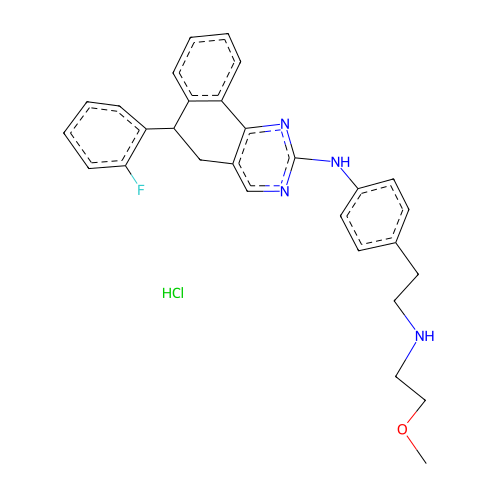 COCCNCCc1ccc(Nc2ncc3c(n2)-c2ccccc2C(c2ccccc2F)C3)cc1.Cl